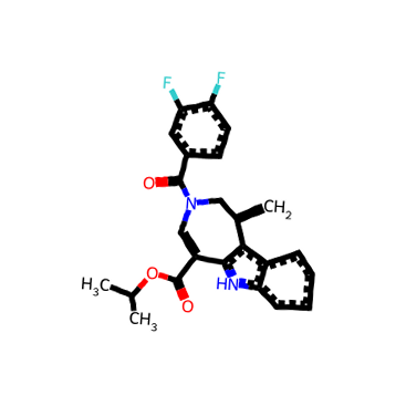 C=C1CN(C(=O)c2ccc(F)c(F)c2)C=C(C(=O)OC(C)C)c2[nH]c3ccccc3c21